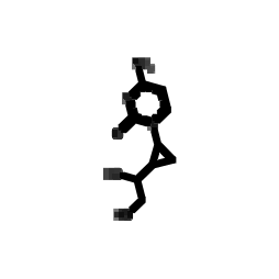 Nc1ccn(C2CC2C(O)CO)c(=O)n1